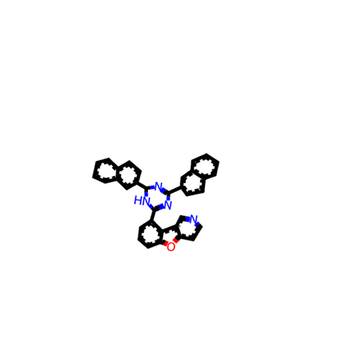 c1ccc2cc(C3=NC(c4ccc5ccccc5c4)NC(c4cccc5oc6ccncc6c45)=N3)ccc2c1